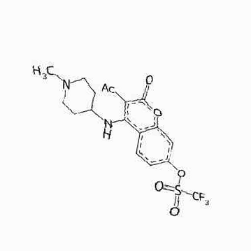 CC(=O)c1c(NC2CCN(C)CC2)c2ccc(OS(=O)(=O)C(F)(F)F)cc2oc1=O